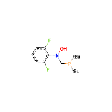 CC(C)(C)P(CN(O)c1c(F)cccc1F)C(C)(C)C